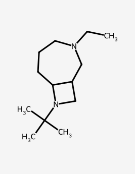 CCN1CCCC2C(C1)CN2C(C)(C)C